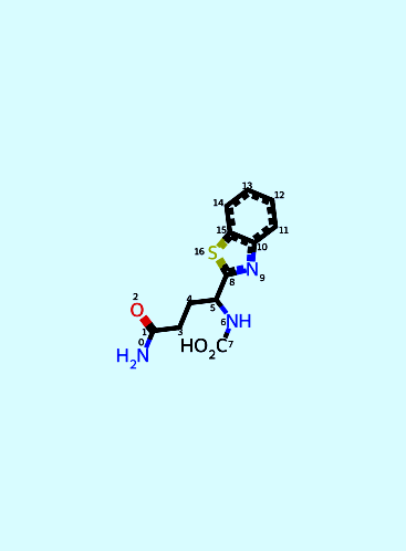 NC(=O)CCC(NC(=O)O)c1nc2ccccc2s1